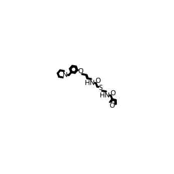 O=C(CSCCNC(=O)c1ccoc1)NCC=CCOc1cccc(CN2CCCCC2)c1